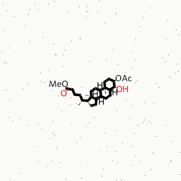 COC(=O)CCC[C@@H](C)[C@H]1CC[C@H]2[C@@H]3CC[C@H]4[C@@H](O)[C@@H](OC(C)=O)CC[C@]4(C)[C@H]3CC[C@]12C